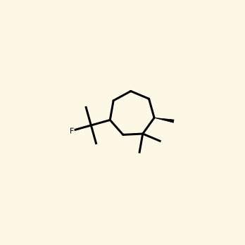 C[C@@H]1CCCC(C(C)(C)F)CC1(C)C